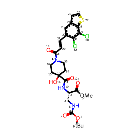 COC(=O)[C@H](CNC(=O)OC(C)(C)C)NC(=O)C1(O)CCN(C(=O)/C=C/c2cc3ccsc3c(Cl)c2Cl)CC1